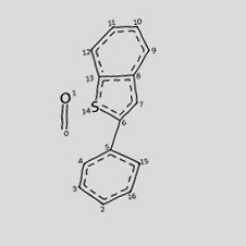 C=O.c1ccc(-c2cc3ccccc3s2)cc1